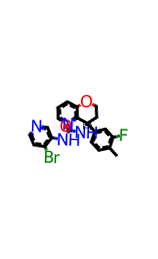 Cc1ccc([C@@]2(NC(=O)Nc3cnccc3Br)CCOc3cccnc32)cc1F